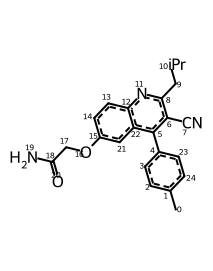 Cc1ccc(-c2c(C#N)c(CC(C)C)nc3ccc(OCC(N)=O)cc23)cc1